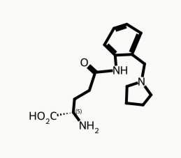 N[C@@H](CCC(=O)Nc1ccccc1CN1CCCC1)C(=O)O